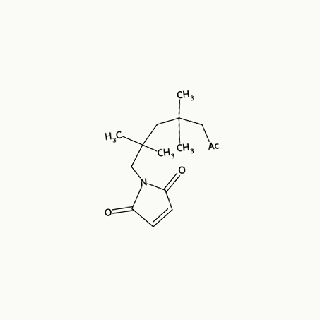 CC(=O)CC(C)(C)CC(C)(C)CN1C(=O)C=CC1=O